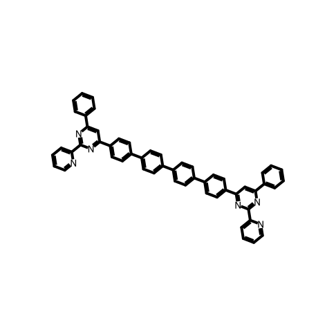 c1ccc(-c2cc(-c3ccc(-c4ccc(-c5ccc(-c6ccc(-c7cc(-c8ccccc8)nc(-c8ccccn8)n7)cc6)cc5)cc4)cc3)nc(-c3ccccn3)n2)cc1